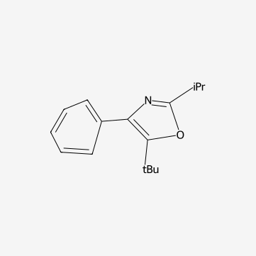 CC(C)c1nc(-c2ccccc2)c(C(C)(C)C)o1